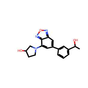 CC(O)c1cccc(-c2cc(N3CCC(O)C3)c3nonc3c2)c1